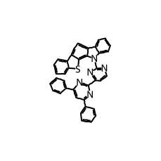 c1ccc(-c2cc(-c3ccccc3)nc(-c3ccnc(-n4c5ccccc5c5ccc6c7ccccc7sc6c54)n3)n2)cc1